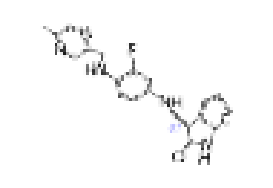 Cc1cnc(CNc2ccc(N/C=C3/C(=O)Nc4ccccc43)cc2F)cn1